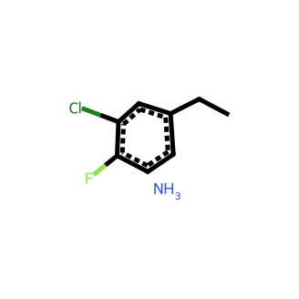 CCc1ccc(F)c(Cl)c1.N